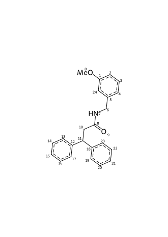 COc1cccc(CNC(=O)CC(c2ccccc2)c2ccccc2)c1